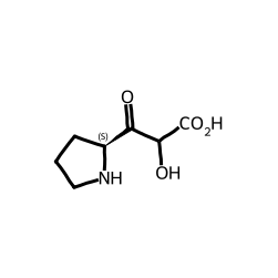 O=C(O)C(O)C(=O)[C@@H]1CCCN1